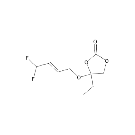 CCC1(OCC=CC(F)F)COC(=O)O1